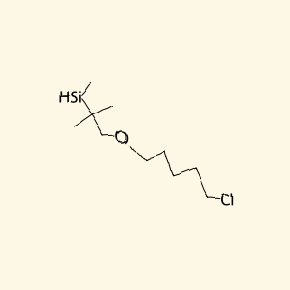 C[SiH](C)C(C)(C)COCCCCCCl